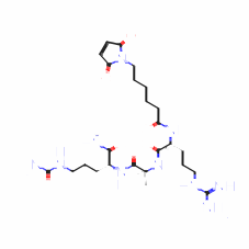 CCNC(=O)[C@H](CCCNC(N)=O)NC(=O)[C@H](C)NC(=O)[C@H](CCCNC(=N)N)NC(=O)CCCCCN1C(=O)C=CC1=O